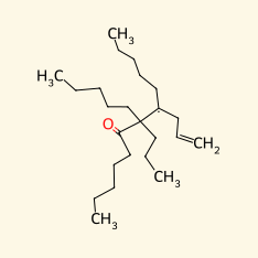 C=CC[C](CCCCC)C(CCC)(CCCCC)C(=O)CCCCC